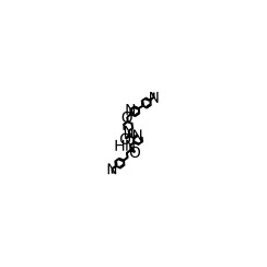 CN(C)c1ccc(CCC(=O)Nc2cccnc2C(=O)N2CCC(Oc3ccc(-c4ccc(N(C)C)cc4)cn3)CC2)cc1